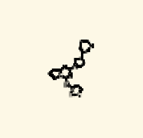 c1cncc(C2CCN(c3nc(Nc4ccn[nH]4)n4cccc4n3)C2)c1